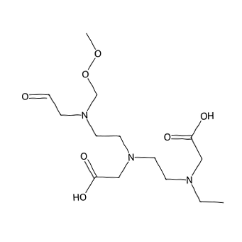 CCN(CCN(CCN(CC=O)COOC)CC(=O)O)CC(=O)O